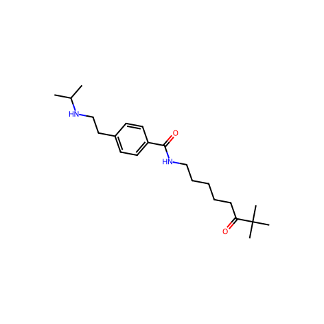 CC(C)NCCc1ccc(C(=O)NCCCCCC(=O)C(C)(C)C)cc1